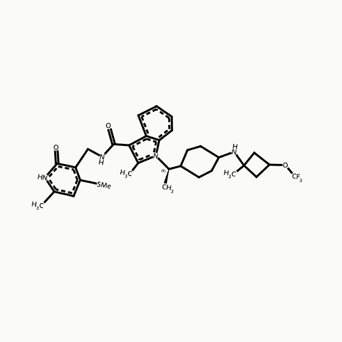 CSc1cc(C)[nH]c(=O)c1CNC(=O)c1c(C)n([C@H](C)C2CCC(NC3(C)CC(OC(F)(F)F)C3)CC2)c2ccccc12